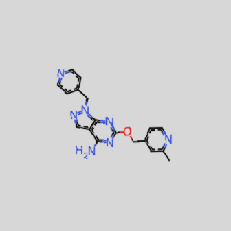 Cc1cc(COc2nc(N)c3cnn(Cc4ccncc4)c3n2)ccn1